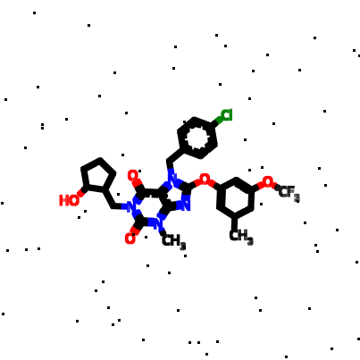 CC1C=C(Oc2nc3c(c(=O)n(CC4CCCC4O)c(=O)n3C)n2Cc2ccc(Cl)cc2)C=C(OC(F)(F)F)C1